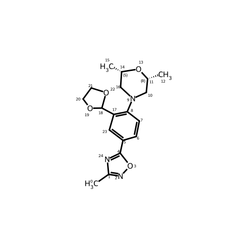 Cc1noc(-c2ccc(N3C[C@@H](C)O[C@@H](C)C3)c(C3OCCO3)c2)n1